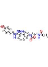 CC(=O)NCC1CN(c2ccc3c(c2)CCCc2c(NCCc4ccc(O)cc4)n[nH]c2-3)C(=O)O1